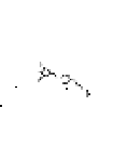 FCCCC=C[C@H]1CC[C@H](CCc2cc(F)c(F)c(F)c2)CC1